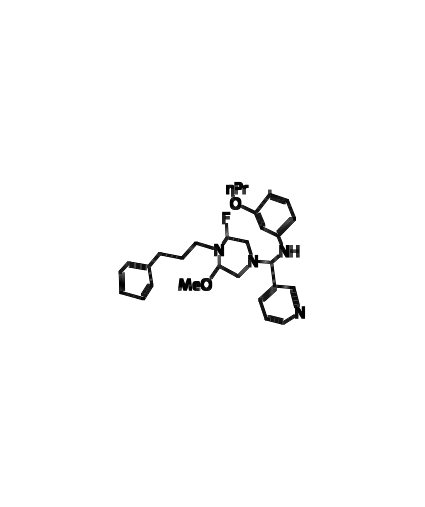 CCCOc1[c]ccc(NC(c2cccnc2)N2CC(F)N(CCCc3ccccc3)C(OC)C2)c1